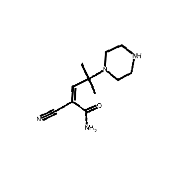 CC(C)(C=C(C#N)C(N)=O)N1CCNCC1